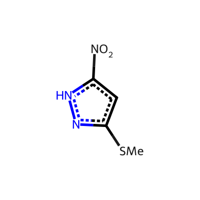 CSc1cc([N+](=O)[O-])[nH]n1